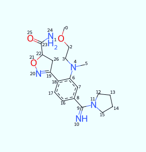 COCCN(C)c1cc(C(=N)N2CCCC2)ccc1C1=NOC(C(N)=O)C1